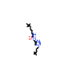 CC(C)(C)CCCCCC(=O)NCc1cn(CCCC(C)(C)C)nn1